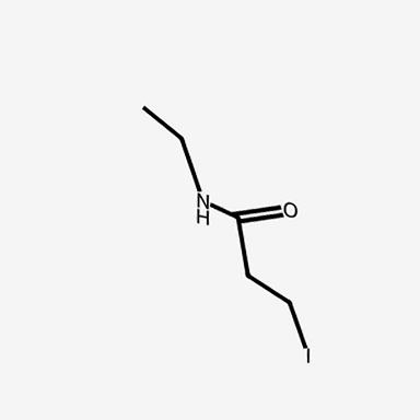 CCNC(=O)CCI